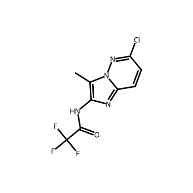 Cc1c(NC(=O)C(F)(F)F)nc2ccc(Cl)nn12